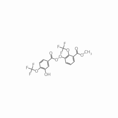 COC(=O)c1cccc(OOC(=O)c2ccc(OC(F)(F)F)c(O)c2)c1OC(F)(F)F